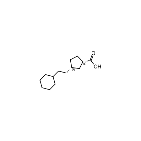 O=C(O)[C@H]1CC[C@@H](CCC2CCCCC2)C1